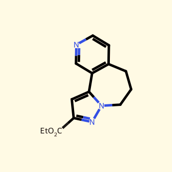 CCOC(=O)c1cc2n(n1)CCCc1ccncc1-2